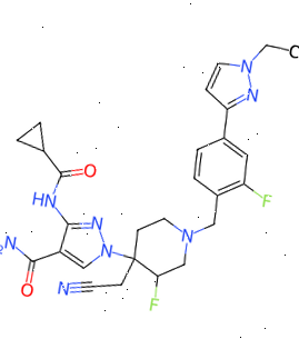 CCn1ccc(-c2ccc(CN3CCC(CC#N)(n4cc(C(N)=O)c(NC(=O)C5CC5)n4)C(F)C3)c(F)c2)n1